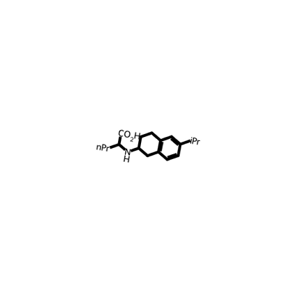 CCCC(NC1CCc2cc(C(C)C)ccc2C1)C(=O)O